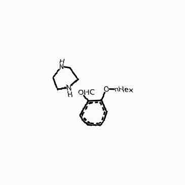 C1CNCCN1.CCCCCCOc1ccccc1C=O